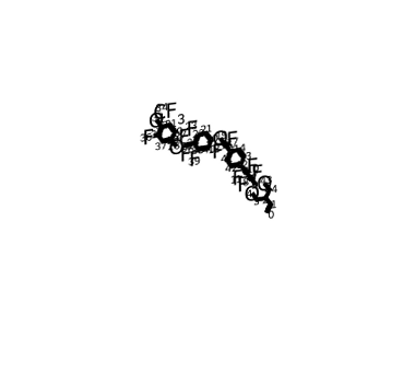 C=CC1COC(C(F)(F)C(F)(F)c2ccc(C(F)(F)Oc3cc(F)c(C(F)(F)Oc4ccc(OC(F)(F)F)c(F)c4)c(F)c3)cc2)OC1